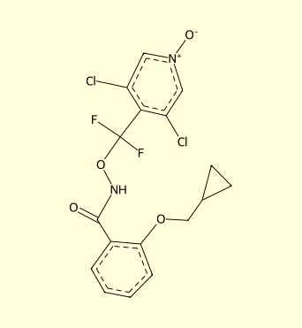 O=C(NOC(F)(F)c1c(Cl)c[n+]([O-])cc1Cl)c1ccccc1OCC1CC1